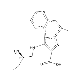 CC[C@@H](N)CNc1c(C(=O)O)sc2c(C)cc3ncccc3c12